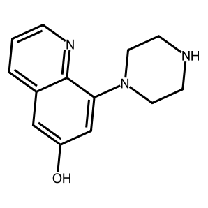 Oc1cc(N2CCNCC2)c2ncccc2c1